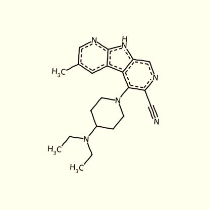 CCN(CC)C1CCN(c2c(C#N)ncc3[nH]c4ncc(C)cc4c23)CC1